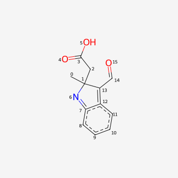 CC1(CC(=O)O)N=c2ccccc2=C1C=O